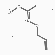 C=CCON=C(C)OCC